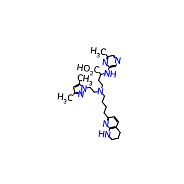 Cc1cncc(NC(CCN(CCCCc2ccc3c(n2)NCCC3)CCn2nc(C)cc2C)C(=O)O)n1